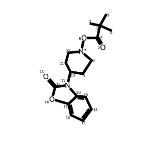 CC(C)(C)C(=O)ON1CCC(n2c(=O)oc3ccccc32)CC1